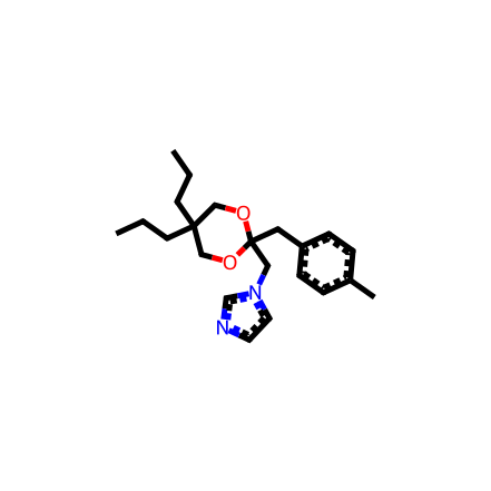 CCCC1(CCC)COC(Cc2ccc(C)cc2)(Cn2ccnc2)OC1